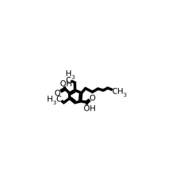 CCCCCCc1c(C(=O)O)cc(CC)c(C(=O)O)c1CC